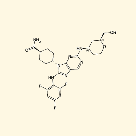 NC(=O)[C@H]1CC[C@H](n2c(Nc3c(F)cc(F)cc3F)nc3cnc(N[C@@H]4CCO[C@H](CO)C4)nc32)CC1